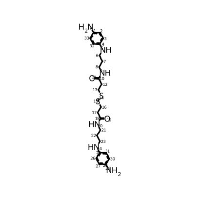 Nc1ccc(NCCCNC(=O)CCSSCCC(=O)NCCCNc2ccc(N)cc2)cc1